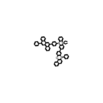 CC[Si]1(CC)c2ccccc2N(c2ccc(-c3cc4c5ccccc5c(-c5ccccc5)cc4c4ccccc34)cc2)c2cc(-c3ccc4c(c3)N(c3ccccc3)c3ccc5ccccc5c3O4)ccc21